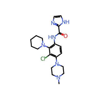 CN1CCN(c2ccc(NC(=O)c3ncc[nH]3)c(N3CCCCC3)c2Cl)CC1